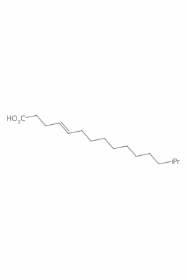 CC(C)CCCCCCCCC=CCCC(=O)O